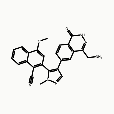 COc1cc(-c2c(-c3ccc4c(=O)[nH]nc(CN)c4c3)cnn2C)c(C#N)c2ccccc12